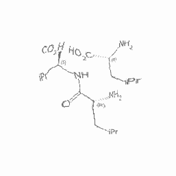 CC(C)C[C@@H](N)C(=O)N[C@H](C(=O)O)C(C)C.CC(C)C[C@@H](N)C(=O)O